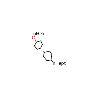 CCCCCCCC1CCC([C@H]2CC[C@H](OCCCCCC)CC2)CC1